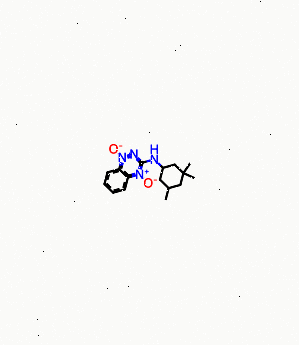 CC1CC(Nc2n[n+]([O-])c3ccccc3[n+]2[O-])CC(C)(C)C1